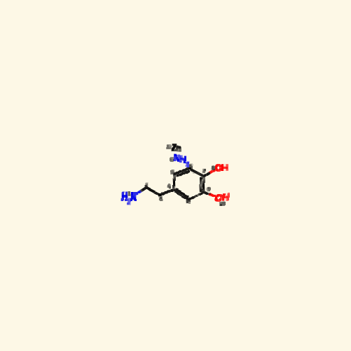 N.NCCc1ccc(O)c(O)c1.[Zn]